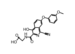 COc1cccc(Oc2ccc3c(O)c(C(=O)NCC(=O)O)nc(C#N)c3c2)c1